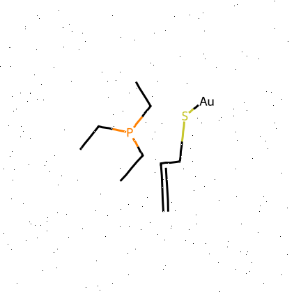 C=CC[S][Au].CCP(CC)CC